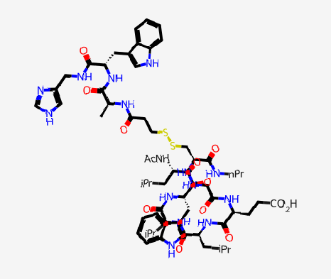 CCCNC(=O)[C@H](CSSCCC(=O)N[C@@H](C)C(=O)N[C@@H](Cc1c[nH]c2ccccc12)C(=O)NCc1c[nH]cn1)NC(=O)[C@H](Cc1c[nH]c2ccccc12)NC(=O)C(NC(=O)[C@H](CC(C)C)NC(=O)[C@H](CCC(=O)O)NC(=O)CNC(=O)[C@H](CC(C)C)NC(C)=O)C(C)C